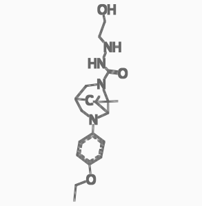 CCOc1ccc(N2CC3CN(C(=O)NNCCO)CC2C(C)(C)C3)cc1